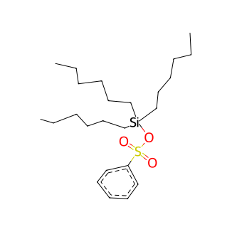 CCCCCC[Si](CCCCCC)(CCCCCC)OS(=O)(=O)c1ccccc1